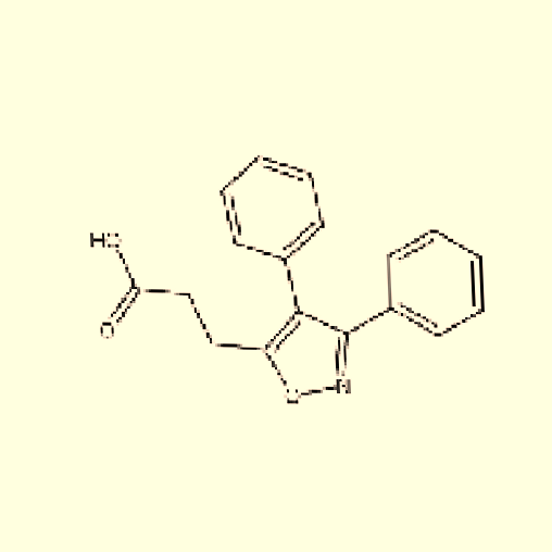 O=C(O)CCc1onc(-c2ccccc2)c1-c1ccccc1